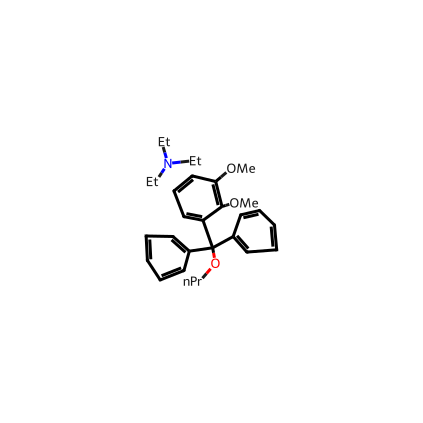 CCCOC(c1ccccc1)(c1ccccc1)c1cccc(OC)c1OC.CCN(CC)CC